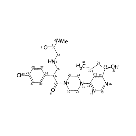 CNC(=O)CNCC(C(=O)N1CCN(c2ncnc3c2[C@H](C)C[C@H]3O)CC1)c1ccc(Cl)cc1